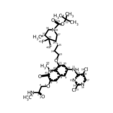 CNC(=O)COc1cc2cc(Nc3nc(Cl)ncc3Cl)cc(OCCC[C@H]3CN(C(=O)OC(C)(C)C)C[C@@H](C)C3(F)F)c2n(C)c1=O